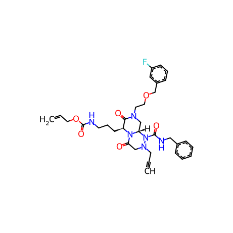 C#CCN1CC(=O)N2[C@@H](CCCNC(=O)OCC=C)C(=O)N(CCOCc3cccc(F)c3)C[C@@H]2N1C(=O)NCc1ccccc1